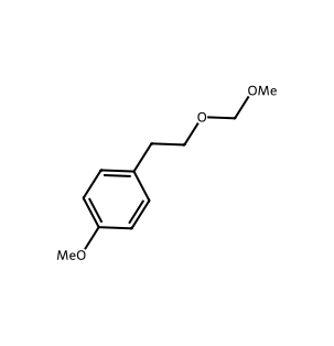 COCOCCc1ccc(OC)cc1